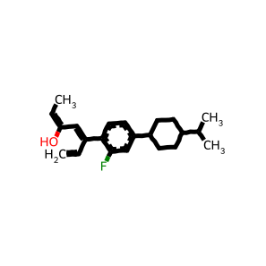 C=C/C(=C\C(O)=C/C)c1ccc(C2CCC(C(C)C)CC2)cc1F